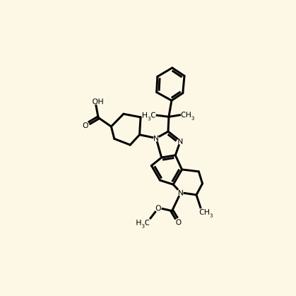 COC(=O)N1c2ccc3c(nc(C(C)(C)c4ccccc4)n3C3CCC(C(=O)O)CC3)c2CCC1C